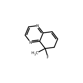 CC1(F)CC=Cc2nccnc21